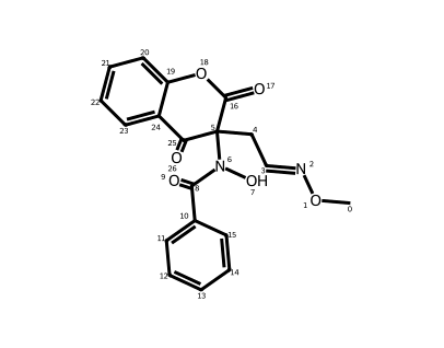 CON=CCC1(N(O)C(=O)c2ccccc2)C(=O)Oc2ccccc2C1=O